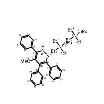 CCCC[N+](CC)(CC)CC.CCCC[N+](CC)(CC)CC.COC1=C(c2ccccc2)NSC(c2ccccc2)=C1c1ccccc1